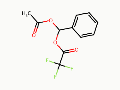 CC(=O)OC(OC(=O)C(F)(F)F)c1ccccc1